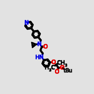 CC(C)(C)OC(=O)C(C)(C)Oc1cccc(NCCC(=O)N(Cc2ccc(-c3ccncc3)cc2)C2CC2)c1